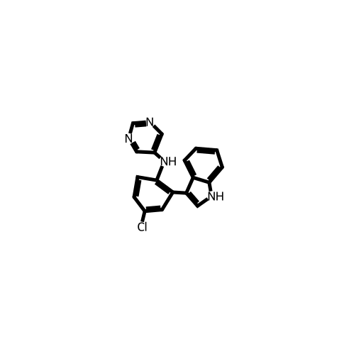 Clc1ccc(Nc2cncnc2)c(-c2c[nH]c3ccccc23)c1